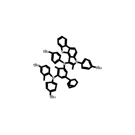 Cc1cc(C(C)(C)C)ccc1N(c1ccc(C(C)(C)C)cc1)c1cc(C23CCC(CC2)C3)cc(N(c2ccc(C(C)(C)C)cc2)c2c(C)n(-c3ccc(C(C)(C)C)cc3)c3ccc4c5ccccc5sc4c23)c1C